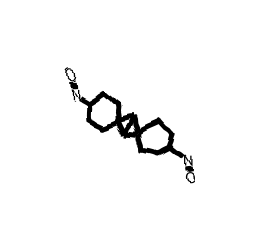 O=NC1CCC2(CC1)C1C2C12CCC(N=O)CC2